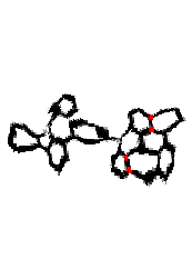 C1=CCC(N(c2ccccc2)c2cccc(-c3cccc4c5ccccc5n(-c5ccccc5)c34)c2)C(c2cccc3cccc(C4CCCCC4)c23)=C1